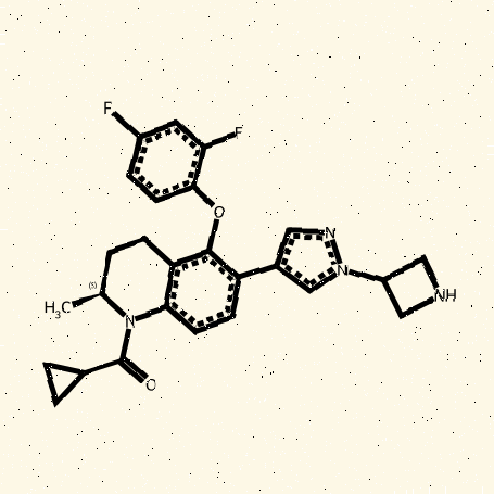 C[C@H]1CCc2c(ccc(-c3cnn(C4CNC4)c3)c2Oc2ccc(F)cc2F)N1C(=O)C1CC1